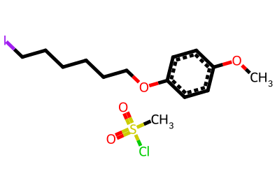 COc1ccc(OCCCCCCI)cc1.CS(=O)(=O)Cl